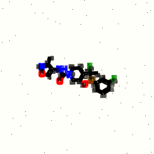 Cc1nocc1NC(=O)N1CCC(C(C)(F)[S+]([O-])c2cccc(F)c2)CC1